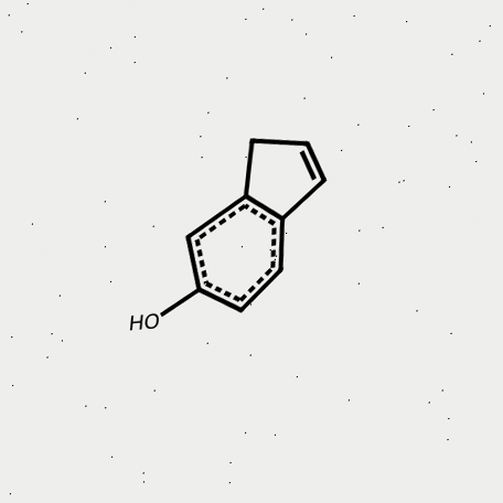 Oc1ccc2c(c1)CC=C2